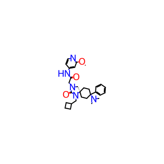 COc1cc(NC(=O)CN2C[C@]3(CC[C@](c4ccccc4)(N(C)C)CC3)N(CC3CCC3)C2=O)ccn1